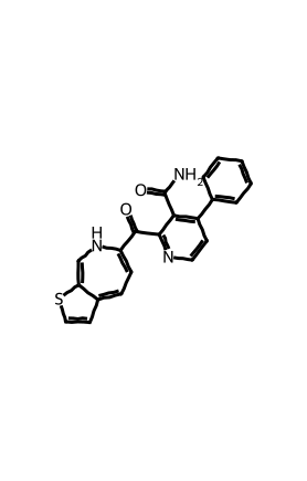 NC(=O)c1c(-c2ccccc2)ccnc1C(=O)C1=CC=c2ccsc2=CN1